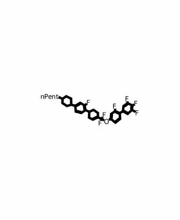 CCCCCC1CCC(c2ccc(C3CC=C(C(F)(F)Oc4ccc(-c5cc(F)c(F)c(F)c5)c(F)c4)CC3)c(F)c2)CC1